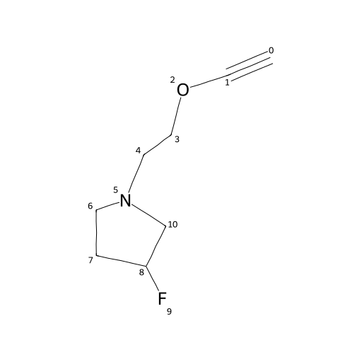 C#COCCN1CCC(F)C1